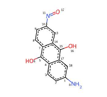 Nc1ccc2c(O)c3ccc(N=O)cc3c(O)c2c1